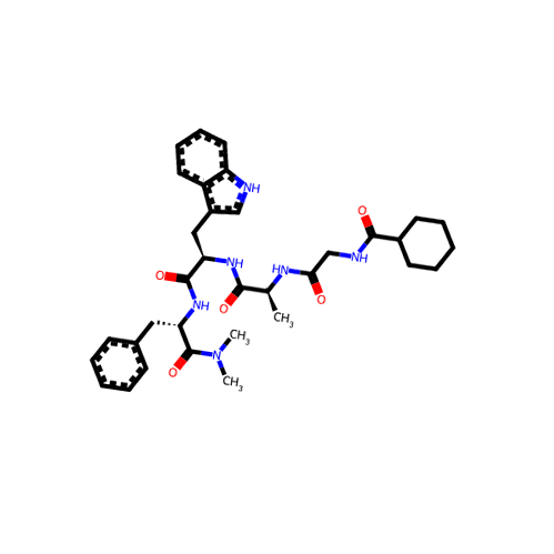 C[C@H](NC(=O)CNC(=O)C1CCCCC1)C(=O)N[C@H](Cc1c[nH]c2ccccc12)C(=O)N[C@@H](Cc1ccccc1)C(=O)N(C)C